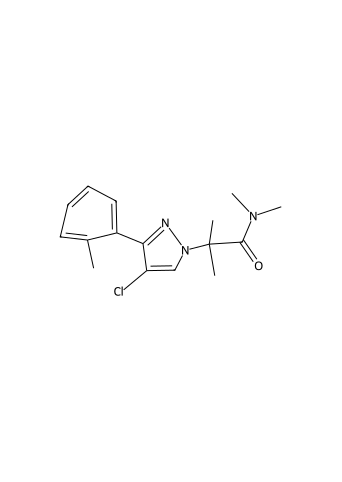 Cc1ccccc1-c1nn(C(C)(C)C(=O)N(C)C)cc1Cl